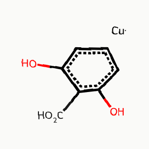 O=C(O)c1c(O)cccc1O.[Cu]